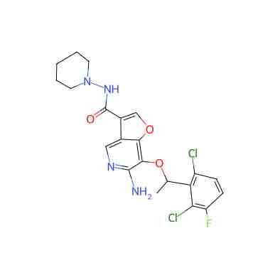 CC(Oc1c(N)ncc2c(C(=O)NN3CCCCC3)coc12)c1c(Cl)ccc(F)c1Cl